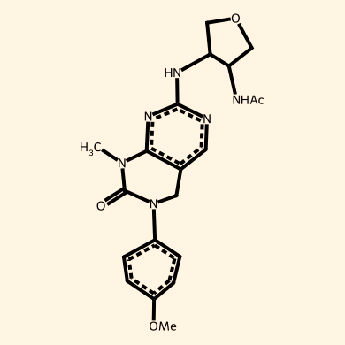 COc1ccc(N2Cc3cnc(NC4COCC4NC(C)=O)nc3N(C)C2=O)cc1